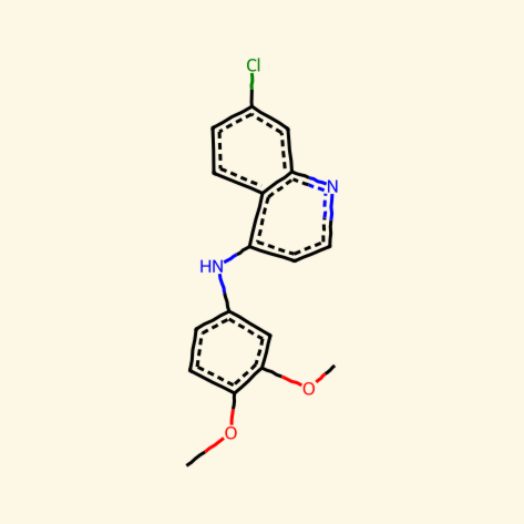 COc1ccc(Nc2ccnc3cc(Cl)ccc23)cc1OC